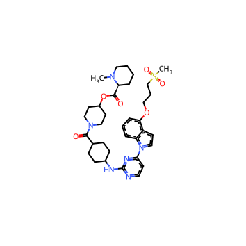 CN1CCCC[C@H]1C(=O)OC1CCN(C(=O)C2CCC(Nc3nccc(-n4ccc5c(OCCCS(C)(=O)=O)cccc54)n3)CC2)CC1